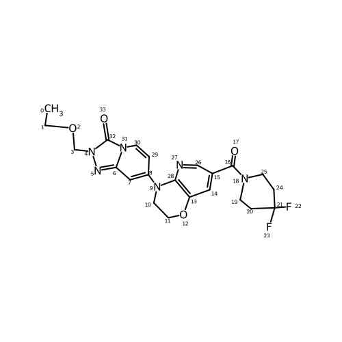 CCOCn1nc2cc(N3CCOc4cc(C(=O)N5CCC(F)(F)CC5)cnc43)ccn2c1=O